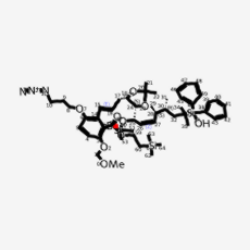 COCOc1ccc(OCCCN=[N+]=[N-])c(/C=C/C[C@@H]2OC(C)(C)O[C@@H]2C(/C=C\[C@@H](C)[C@H](C)CC(C)(C)[Si](O)(c2ccccc2)c2ccccc2)O[Si](C)(C)C(C)(C)C)c1C(=O)OCC[Si](C)(C)C